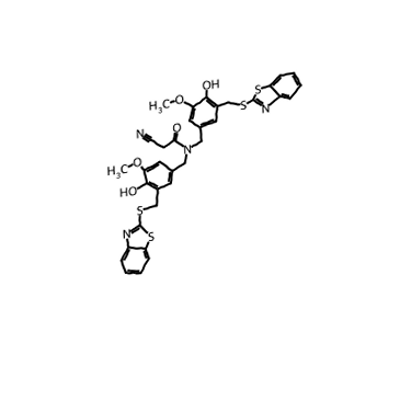 COc1cc(CN(Cc2cc(CSc3nc4ccccc4s3)c(O)c(OC)c2)C(=O)CC#N)cc(CSc2nc3ccccc3s2)c1O